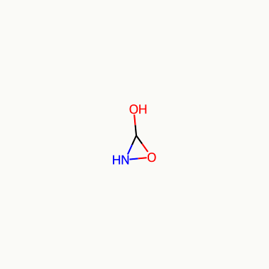 OC1NO1